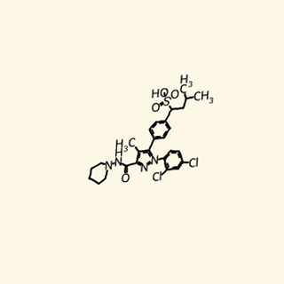 Cc1c(C(=O)NN2CCCCC2)nn(-c2ccc(Cl)cc2Cl)c1-c1ccc(C(CC(C)C)S(=O)(=O)O)cc1